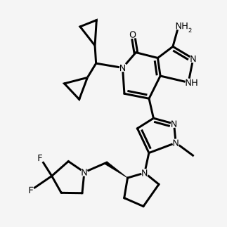 Cn1nc(-c2cn(C(C3CC3)C3CC3)c(=O)c3c(N)n[nH]c23)cc1N1CCC[C@H]1CN1CCC(F)(F)C1